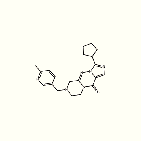 Cc1ccc(CN2CCn3c(nn4c(C5CCCC5)ncc4c3=O)C2)cn1